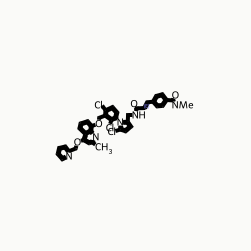 CNC(=O)c1ccc(/C=C/C(=O)NCc2ccc(Cl)n2-c2ccc(Cl)c(COc3cccc4c(OCc5ccccn5)cc(C)nc34)c2Cl)cc1